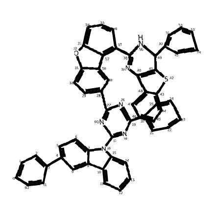 c1ccc(-c2ccc3c(c2)c2ccccc2n3-c2nc(-c3ccccc3)nc(-c3ccc4oc5cccc(C6=Nc7c(sc8ccccc78)C(c7ccccc7)N6)c5c4c3)n2)cc1